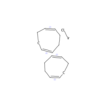 C1=C\CC/C=C\CC/1.C1=C\CC/C=C\CC/1.[Cl][Ir]